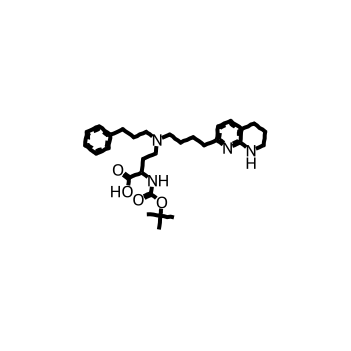 CC(C)(C)OC(=O)NC(CCN(CCCCc1ccc2c(n1)NCCC2)CCCc1ccccc1)C(=O)O